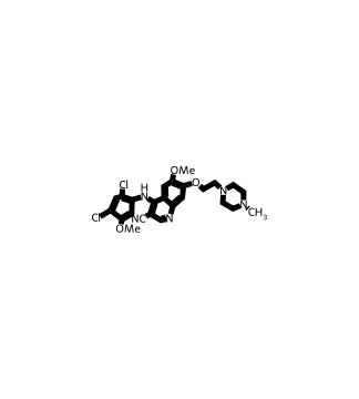 COc1cc(Nc2c(C#N)cnc3cc(OCCN4CCN(C)CC4)c(OC)cc23)c(Cl)cc1Cl